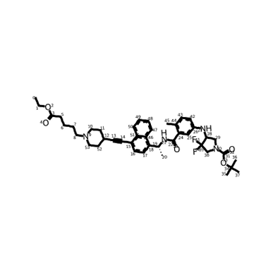 CCOC(=O)CCCCN1CCC(C#Cc2ccc([C@@H](C)NC(=O)c3cc(NC4CN(C(=O)OC(C)(C)C)CC4(F)F)ccc3C)c3ccccc23)CC1